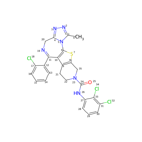 Cc1nnc2n1-c1sc3c(c1C(c1ccccc1Cl)=NC2)CCN(C(=O)Nc1cccc(Cl)c1Cl)C3